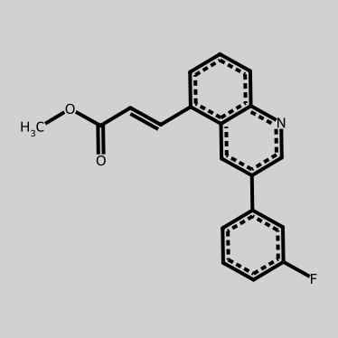 COC(=O)C=Cc1cccc2ncc(-c3cccc(F)c3)cc12